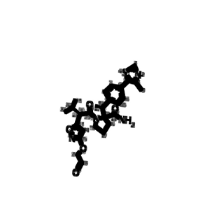 Cc1ncsc1-c1ccc([C@H](C)C2(C(N)=O)CCCN2C(=O)[C@@H](c2cc(OCC=O)no2)C(C)C)cc1